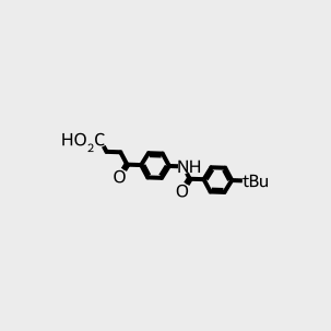 CC(C)(C)c1ccc(C(=O)Nc2ccc(C(=O)CCC(=O)O)cc2)cc1